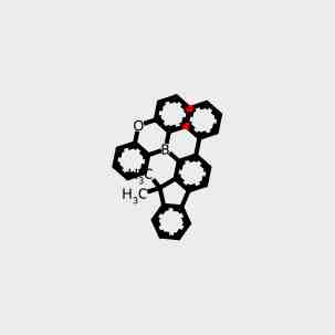 CC1(C)c2ccccc2-c2ccc(-c3ccccc3)c(B3c4ccccc4Oc4ccccc43)c21